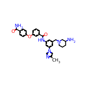 Cc1cn(-c2cc(CN3CCCC(N)C3)cc(NC(=O)c3cccc(Oc4ccc(C(N)=O)cc4)c3)c2)cn1